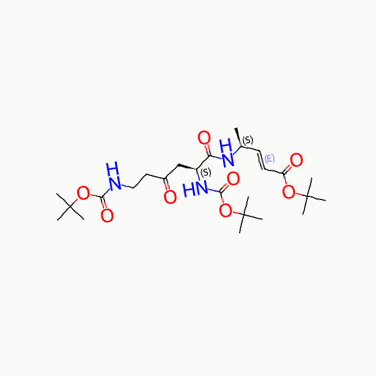 C[C@@H](/C=C/C(=O)OC(C)(C)C)NC(=O)[C@H](CC(=O)CCNC(=O)OC(C)(C)C)NC(=O)OC(C)(C)C